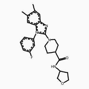 Cc1cc2nc(N3CCC(C(=O)NC4CCOC4)CC3)n(-c3cccc(F)c3)c2cc1C